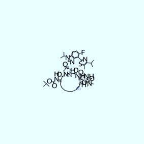 Cc1sc(-c2c(F)ccc3c2nc(O[C@@H]2C[C@H]4C(=O)N[C@]5(C(=O)NS(=O)(=O)N(C)C)C[C@H]5/C=C\CCCCC[C@H](NC(=O)OC(C)(C)C)C(=O)N4C2)n3C(C)C)nc1C(C)C